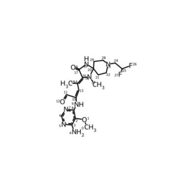 COc1c(N)ncnc1N/C(C=O)=C/C(C)=C1/C(=O)NC2(CCN(CC(F)F)CC2)N1C